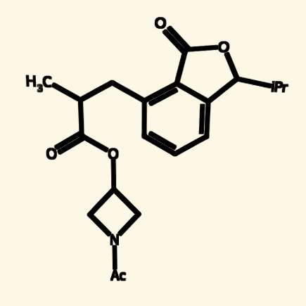 CC(=O)N1CC(OC(=O)C(C)Cc2cccc3c2C(=O)OC3C(C)C)C1